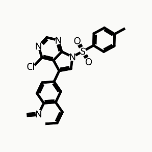 C=Nc1ccc(-c2cn(S(=O)(=O)c3ccc(C)cc3)c3ncnc(Cl)c23)cc1/C=C\C